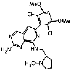 COc1cc(OC)c(Cl)c(-c2cc3cnc(N)nc3c(NCC3CCCN3C)n2)c1Cl